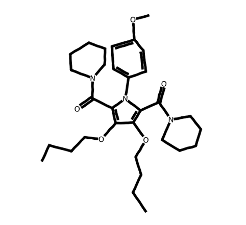 CCCCOc1c(OCCCC)c(C(=O)N2CCCCC2)n(-c2ccc(OC)cc2)c1C(=O)N1CCCCC1